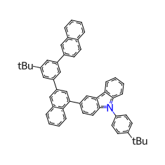 CC(C)(C)c1ccc(-n2c3ccccc3c3cc(-c4cc(-c5cc(-c6ccc7ccccc7c6)cc(C(C)(C)C)c5)cc5ccccc45)ccc32)cc1